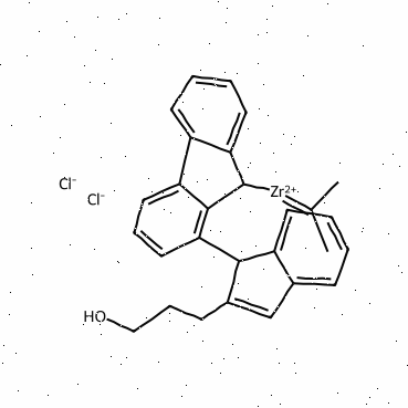 C[C](C)=[Zr+2][CH]1c2ccccc2-c2cccc(C3C(CCCO)=Cc4ccccc43)c21.[Cl-].[Cl-]